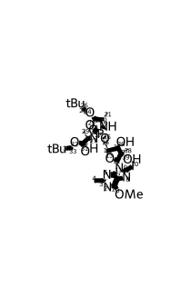 COc1nc(C)nc2c1nc(I)n2[C@@H]1O[C@H](COP(=O)(N[C@@H](C)C(=O)OCC(C)(C)C)N[C@@H](C)C(=O)OCC(C)(C)C)[C@@H](O)[C@@]1(C)O